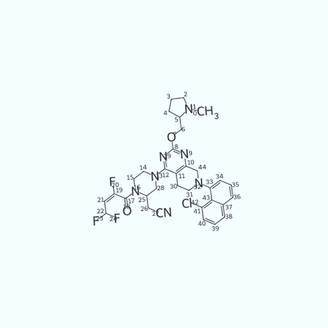 CN1CCCC1COc1nc2c(c(N3CCN(C(=O)/C(F)=C\C(F)F)C(CC#N)C3)n1)CCN(c1cccc3cccc(Cl)c13)C2